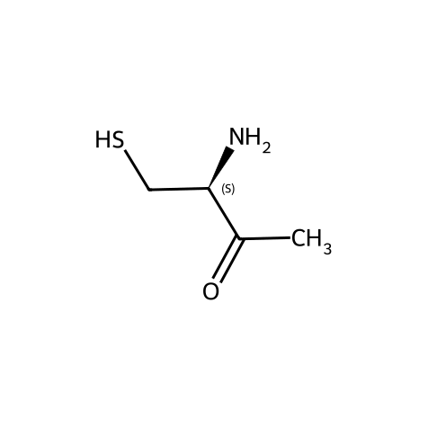 CC(=O)[C@H](N)CS